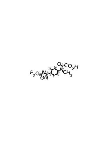 CN(C(=O)C(=O)O)c1ccc(-c2noc(C(F)(F)F)n2)cc1